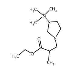 CCOC(=O)C(C)CN1CCN([Si](C)(C)C)C1